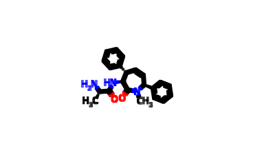 C[C@H](N)C(=O)N[C@@H]1C(=O)N(C)[C@H](c2ccccc2)C=C[C@H]1c1ccccc1